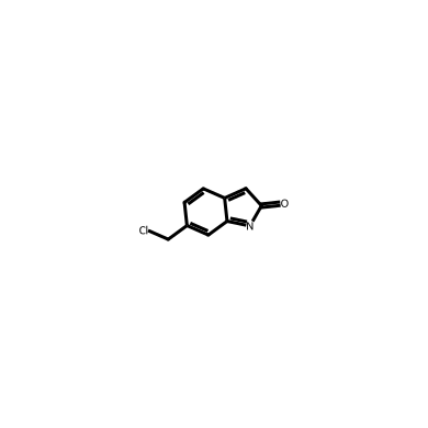 O=C1C=c2ccc(CCl)cc2=N1